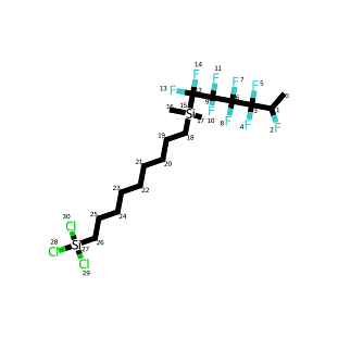 CC(F)C(F)(F)C(F)(F)C(F)(F)C(F)(F)[Si](C)(C)CCCCCCCCC[Si](Cl)(Cl)Cl